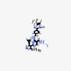 COc1ncnc(C2CC2)c1-c1ncc(CN)c(NCc2ccc(-c3nc(C(F)(F)F)cn3C)cc2)n1